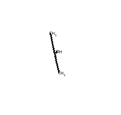 CCCCCCCCCCCCCCCCCCC(CCO)CCCCCCCCCCCCCCCCCC